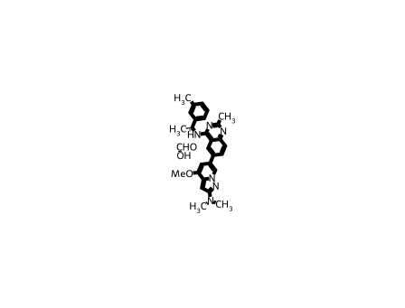 COc1cc(-c2ccc3nc(C)nc(N[C@H](C)c4cccc(C)c4)c3c2)cn2nc(N(C)C)cc12.O=CO